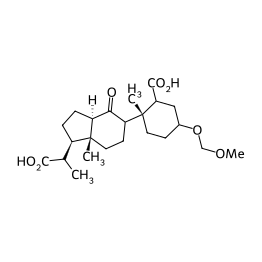 COCOC1CC[C@](C)(C2CC[C@]3(C)[C@@H](C(C)C(=O)O)CC[C@H]3C2=O)C(C(=O)O)C1